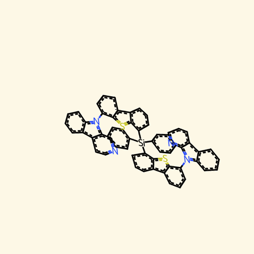 c1ccc([Si](c2ccccc2)(c2cccc3c2sc2c(-n4c5ccccc5c5ccncc54)cccc23)c2cccc3c2sc2c(-n4c5ccccc5c5cccnc54)cccc23)cc1